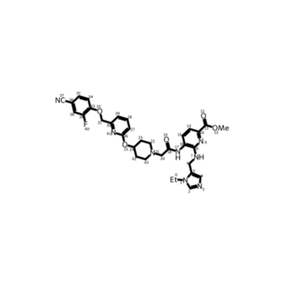 CCn1cncc1CNc1nc(C(=O)OC)ccc1NC(=O)CN1CCC(Oc2cccc(COc3ccc(C#N)cc3F)n2)CC1